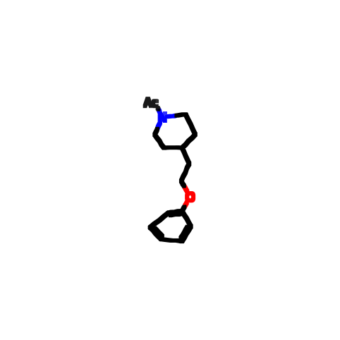 CC(=O)N1CCC(CCOc2ccccc2)CC1